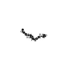 Cn1c(=O)c2c(ncn2CCNc2ccc(N3CCN(C(=O)c4ccc(Cn5c(=O)c6c(ncn6CC(=O)Nc6ccc(N7CCN(C(=O)c8cccs8)CC7)cn6)n(C)c5=O)c(F)c4)CC3)cn2)n(C)c1=O